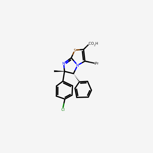 CC(C)C1=C(C(=O)O)SC2=N[C@@](C)(c3ccc(Cl)cc3)[C@@H](c3ccccc3)N21